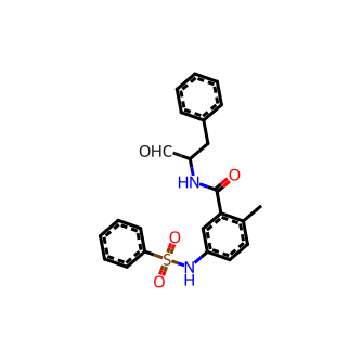 Cc1ccc(NS(=O)(=O)c2ccccc2)cc1C(=O)NC(C=O)Cc1ccccc1